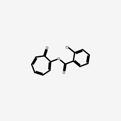 O=C(Oc1cccccc1=O)c1ccccc1Cl